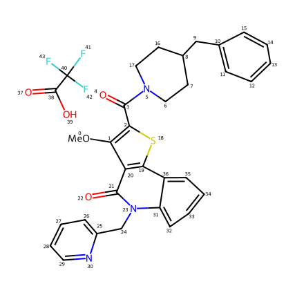 COc1c(C(=O)N2CCC(Cc3ccccc3)CC2)sc2c1c(=O)n(Cc1ccccn1)c1ccccc21.O=C(O)C(F)(F)F